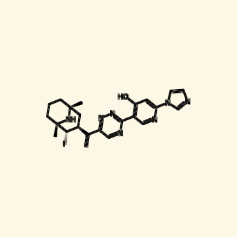 C=C(c1cnc(-c2cnc(-n3ccnc3)cc2O)nn1)[C@@H]1C[C@@]2(C)CCC[C@](C)(N2)[C@H]1F